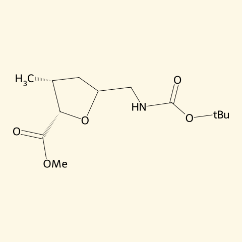 COC(=O)[C@H]1OC(CNC(=O)OC(C)(C)C)C[C@H]1C